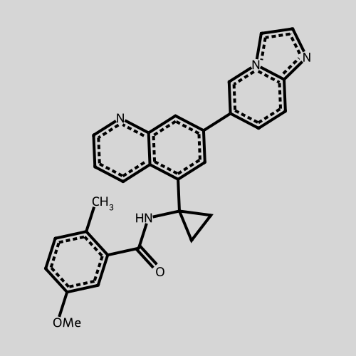 COc1ccc(C)c(C(=O)NC2(c3cc(-c4ccc5nccn5c4)cc4ncccc34)CC2)c1